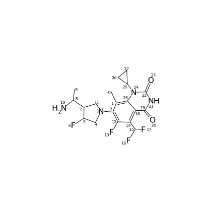 Cc1c(N2CC(F)C(C(C)N)C2)c(F)c(C(F)F)c2c(=O)[nH]c(=O)n(C3CC3)c12